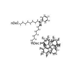 CCCCCCCCCCCCCCCCCC[NH+](CCCCCCCCCCCCCCCCCC)c1ccccc1.Oc1ccccc1[B-](c1c(F)c(F)c(F)c(F)c1F)(c1c(F)c(F)c(F)c(F)c1F)c1c(F)c(F)c(F)c(F)c1F